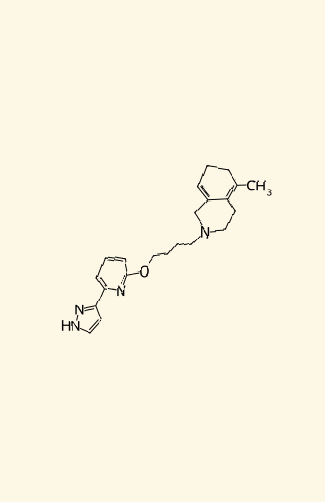 CC1=C2CCN(CCCCOc3cccc(-c4cc[nH]n4)n3)CC2=CCC1